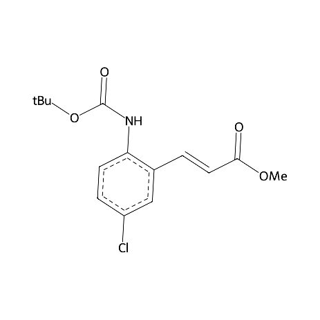 COC(=O)C=Cc1cc(Cl)ccc1NC(=O)OC(C)(C)C